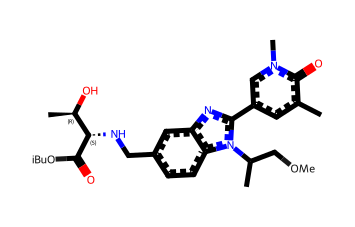 COCC(C)n1c(-c2cc(C)c(=O)n(C)c2)nc2cc(CN[C@H](C(=O)OCC(C)C)[C@@H](C)O)ccc21